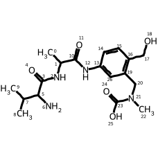 CC(NC(=O)C(N)C(C)C)C(=O)Nc1ccc(CO)c(CN(C)C(=O)O)c1